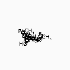 Cc1cc(F)cc(C)c1C(=O)c1sc2cc(O)ccc2c1Oc1ccc(OC2CN(CC(C)(C)CF)C2)cc1